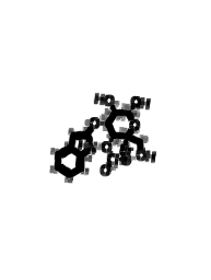 [O-][Cl+2]([O-])O[C@@H]1[C@H](Oc2cc3ccccc3[nH]2)[C@@H](O)[C@H](O)O[C@]1(Br)CO